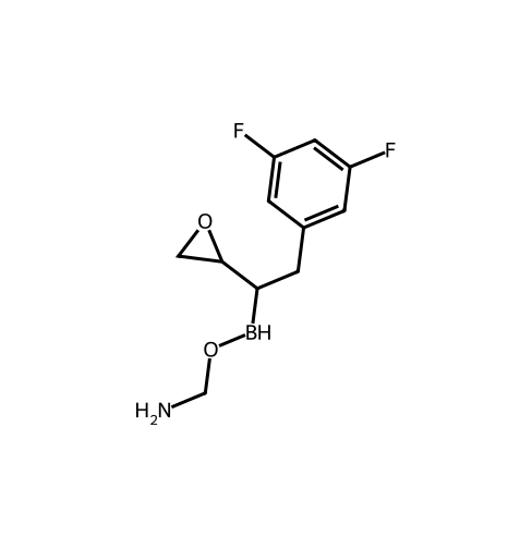 NCOBC(Cc1cc(F)cc(F)c1)C1CO1